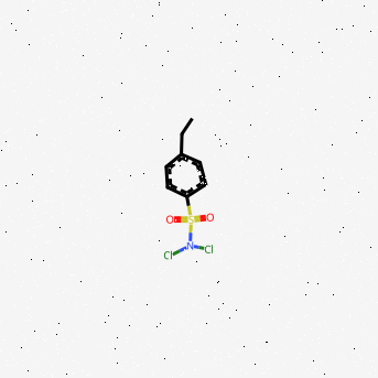 CCc1ccc(S(=O)(=O)N(Cl)Cl)cc1